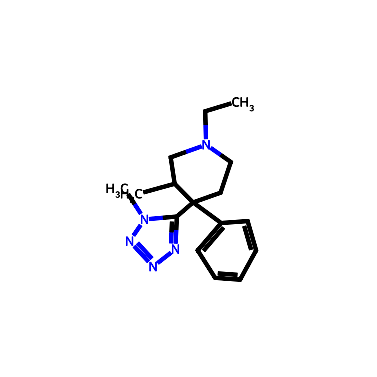 CCN1CCC(c2ccccc2)(c2nnnn2C)C(C)C1